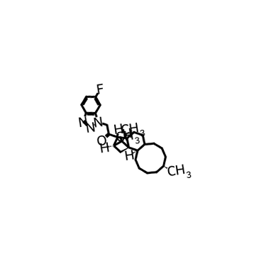 C[C@@H]1CCCC[C@@H]2C(CCC1)CC[C@]1(C)[C@@H](C(=O)Cn3nnc4ccc(F)cc43)[C@@H]3C[C@]21[C@@H]3C